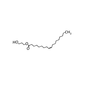 CCCCCCCC/C=C\CCCCCCCC(=O)OCCCO